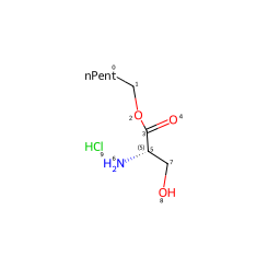 CCCCCCOC(=O)[C@@H](N)CO.Cl